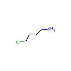 NCC=CCCl